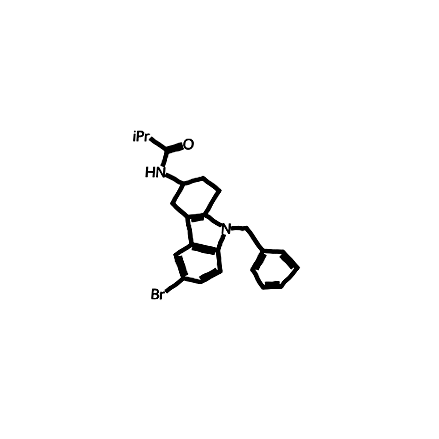 CC(C)C(=O)NC1CCc2c(c3cc(Br)ccc3n2Cc2ccccc2)C1